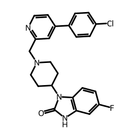 O=c1[nH]c2cc(F)ccc2n1C1CCN(Cc2cc(-c3ccc(Cl)cc3)ccn2)CC1